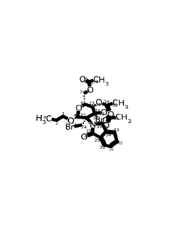 CCCO[C@@H]1O[C@H](COC(C)=O)[C@@H](OC(C)=O)[C@](Br)(OC(C)=O)[C@@]1(CBr)N1C(=O)c2ccccc2C1=O